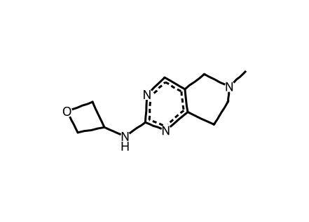 CN1CCc2nc(NC3COC3)ncc2C1